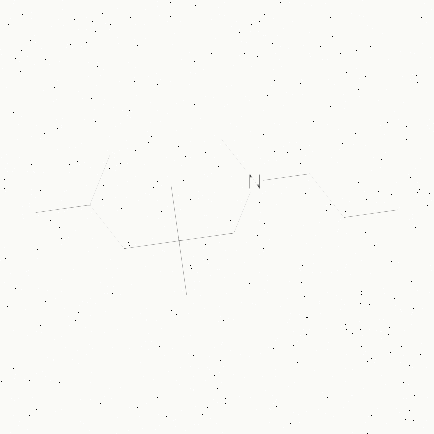 CCCN(C)CC(C)(C)CC(C)C